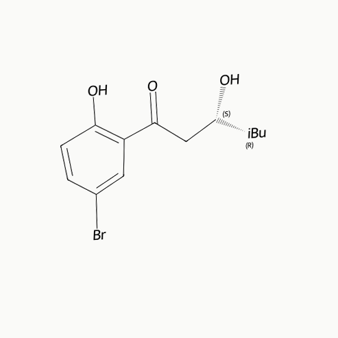 CC[C@@H](C)[C@@H](O)CC(=O)c1cc(Br)ccc1O